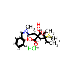 CCC(CC)(CC(CCN(C)Cc1ccccc1)(C(=O)O)C(=O)O)SC.Cl